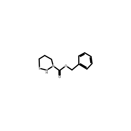 O=C(OCc1ccccc1)N1CCCSN1